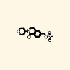 CS(=O)(=O)OCc1ccc2c(c1)CCN(C1CCOCC1)C2=O